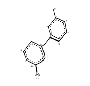 Cc1[c]ccc(-c2cccc(Br)c2)c1